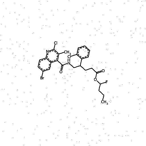 CCCC(F)OC(=O)CCC(CNC(=O)c1c(C)c(Cl)nc2ccc(Br)cc12)c1ccccc1Cl